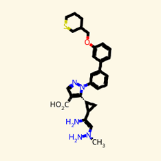 CN(N)/C=C(\N)C1C[C@H]1c1c(C(=O)O)cnn1-c1cccc(-c2cccc(OCC3CCCSC3)c2)c1